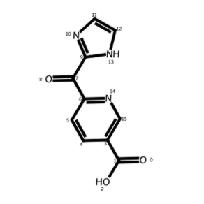 O=C(O)c1ccc(C(=O)c2ncc[nH]2)nc1